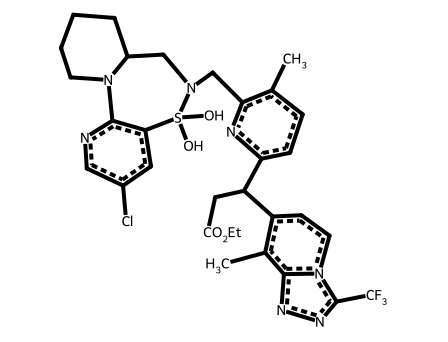 CCOC(=O)CC(c1ccc(C)c(CN2CC3CCCCN3c3ncc(Cl)cc3S2(O)O)n1)c1ccn2c(C(F)(F)F)nnc2c1C